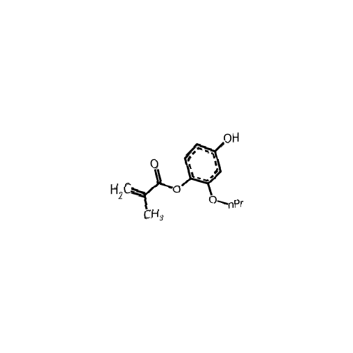 C=C(C)C(=O)Oc1ccc(O)cc1OCCC